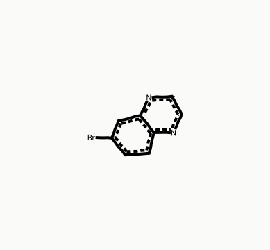 Brc1ccc2nc[c]nc2c1